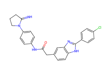 N=C1CCCN1c1ccc(NC(=O)Cc2ccc3[nH]c(-c4ccc(Cl)cc4)nc3c2)cc1